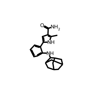 Cc1[nH]c(-c2ccccc2NC2C3CC4CC(C3)CC2C4)cc1C(N)=O